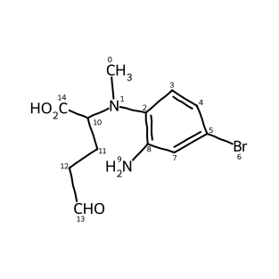 CN(c1ccc(Br)cc1N)C(CCC=O)C(=O)O